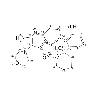 Cc1cccc(C2(C)CCCCN2C=O)c1-c1ccc2nc(N)c(N3CCOCC3)cc2c1